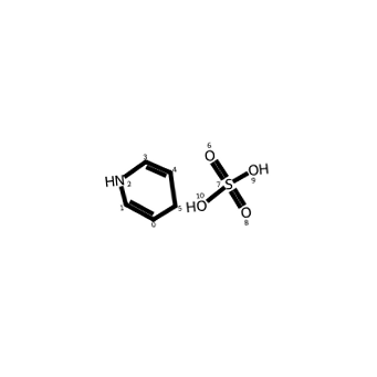 C1=CNC=CC1.O=S(=O)(O)O